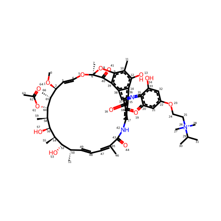 CO[C@H]1/C=C/O[C@@]2(C)Oc3c(C)c(O)c4c(=O)c(c5oc6cc(OCC[N+](C)(C)C(C)C)cc(O)c6nc-5c4c3C2=O)NC(=O)/C(C)=C\C=C\[C@H](C)[C@H](O)[C@@H](C)[C@@H](O)[C@@H](C)[C@H](OC(C)=O)[C@@H]1C